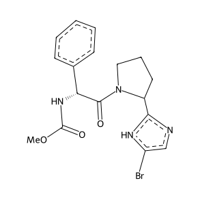 COC(=O)N[C@@H](C(=O)N1CCCC1c1ncc(Br)[nH]1)c1ccccc1